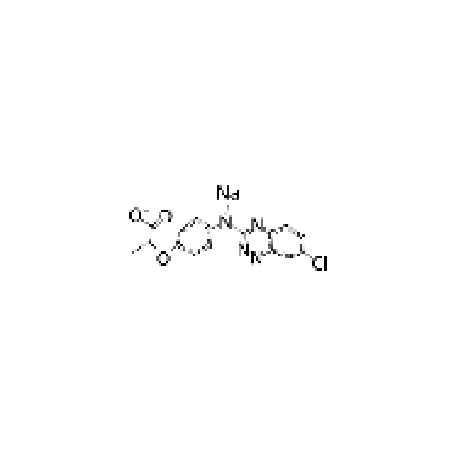 CC(Oc1ccc(N(C)c2nnc3cc(Cl)ccc3n2)cc1)C(=O)[O-].[Na+]